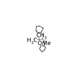 COC(C)(C)C(Cc1ccccc1)Cc1ccccc1